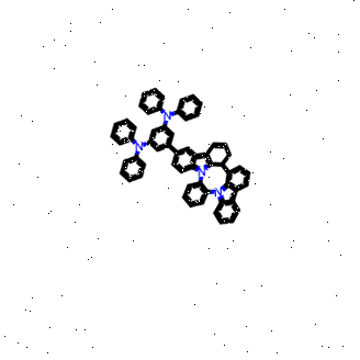 C1=Cc2c3n(c4ccc(-c5cc(N(c6ccccc6)c6ccccc6)cc(N(c6ccccc6)c6ccccc6)c5)cc24)-c2ccccc2-n2c4ccccc4c4cccc(c42)C3C1